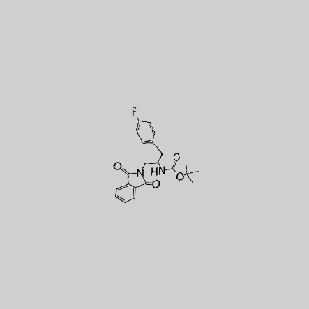 CC(C)(C)OC(=O)N[C@H](Cc1ccc(F)cc1)CN1C(=O)c2ccccc2C1=O